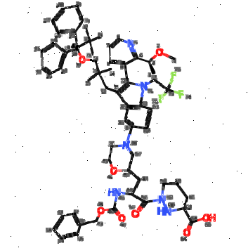 CO[C@@H](C)c1ncccc1-c1c(CC(C)(C)CO[Si](c2ccccc2)(c2ccccc2)C(C)(C)C)c2cc(N3CCOC(CC(NC(=O)OCc4ccccc4)C(=O)N4CCCC(C(=O)O)N4)C3)ccc2n1CC(F)(F)F